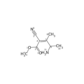 COC(=O)C(C#N)=C(C)C(C)N